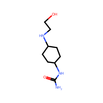 NC(=O)NC1CCC(NCCO)CC1